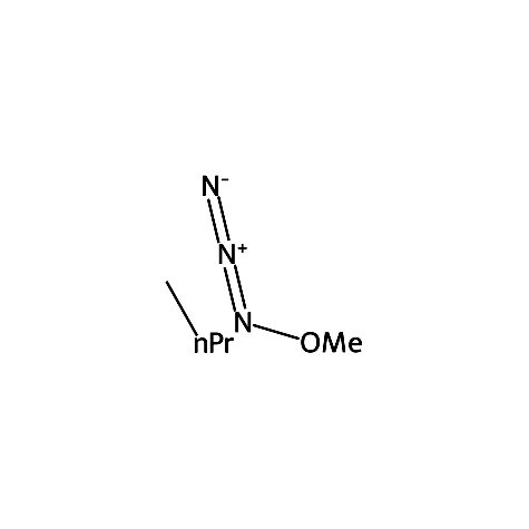 CCCC.CON=[N+]=[N-]